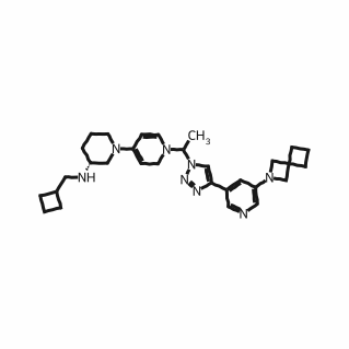 CC(N1C=CC(N2CCC[C@@H](NCC3CCC3)C2)=CC1)n1cc(-c2cncc(N3CC4(CCC4)C3)c2)nn1